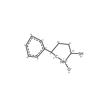 [O-][NH+]1CC(c2ccccc2)CCC1S